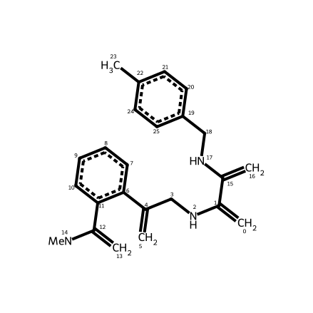 C=C(NCC(=C)c1ccccc1C(=C)NC)C(=C)NCc1ccc(C)cc1